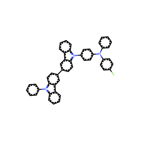 Fc1ccc(N(c2ccccc2)c2ccc(-n3c4ccccc4c4cc(-c5ccc6c(c5)c5ccccc5n6-c5ccccc5)ccc43)cc2)cc1